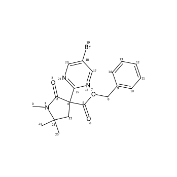 CN1C(=O)C(C(=O)OCc2ccccc2)(c2ncc(Br)cn2)CC1(C)C